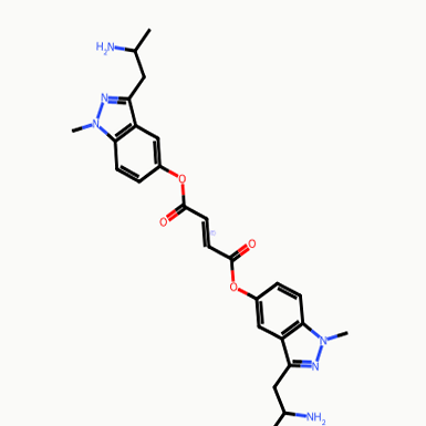 CC(N)Cc1nn(C)c2ccc(OC(=O)/C=C/C(=O)Oc3ccc4c(c3)c(CC(C)N)nn4C)cc12